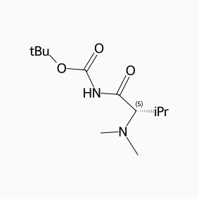 CC(C)[C@@H](C(=O)NC(=O)OC(C)(C)C)N(C)C